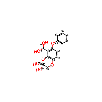 OC(O)c1c(Oc2ccccc2)ccc2c1O[B-](O)(O)CO2